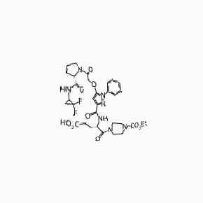 CCOC(=O)N1CCN(C(=O)[C@H](CCC(=O)O)NC(=O)c2cc(OCC(=O)N3CCC[C@H]3C(=O)NC3CC3(F)F)n(-c3ccccc3)n2)CC1